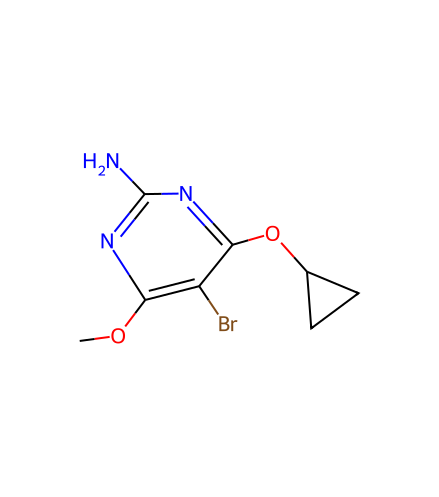 COc1nc(N)nc(OC2CC2)c1Br